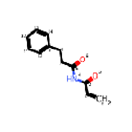 C=CC(=O)NC(=O)CCc1ccccc1